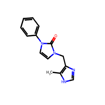 Cc1[nH]cnc1Cn1ccn(-c2ccccc2)c1=O